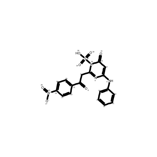 O=C(Cc1nc(Nc2ccccc2)cc(=O)n1S(=O)(=O)O)c1ccc([N+](=O)[O-])cc1